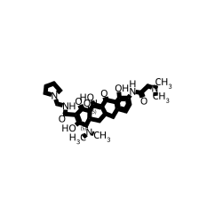 CN(C)CC(=O)Nc1ccc2c(c1O)C(=O)C1=C(O)[C@]3(O)C(=O)C(C(=O)NCN4CCCC4)=C(O)[C@@H](N(C)C)C3CC1C2